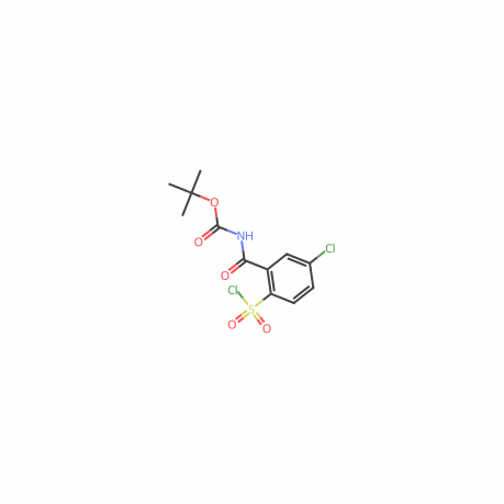 CC(C)(C)OC(=O)NC(=O)c1cc(Cl)ccc1S(=O)(=O)Cl